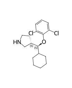 Clc1cccc(Cl)c1O[C@@H](C1CCCCC1)[C@H]1CCNC1